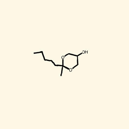 CCCCCC1(C)OCC(O)CO1